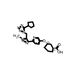 Cn1nnc(-c2ccc(O[C@H]3CCC[C@H](C(=O)O)C3)cn2)c1Cn1nnnc1C1CCCC1